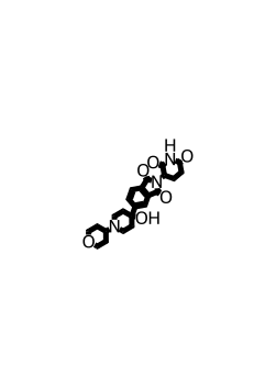 O=C1CCC(N2C(=O)c3ccc(C4(O)CCN(C5CCOCC5)CC4)cc3C2=O)C(=O)N1